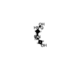 O=C(O)NC12CC(c3nc([C@H]4C[C@@H](O)C4)no3)(C1)C2